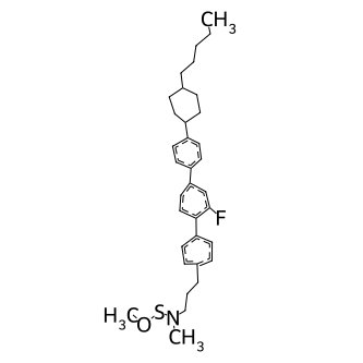 CCCCCC1CCC(c2ccc(-c3ccc(-c4ccc(CCCN(C)SOC)cc4)c(F)c3)cc2)CC1